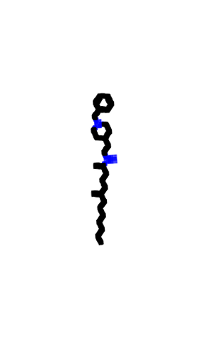 C=C(CCCCCCC)CCCC(=C)NCCC1CCN(Cc2ccccc2)CC1